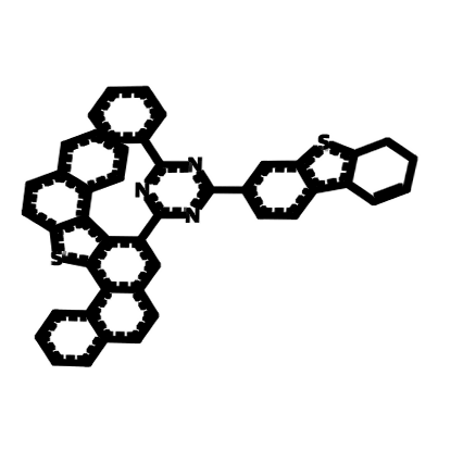 C1=Cc2c(sc3cc(-c4nc(-c5ccccc5)nc(-c5cc6ccc7ccccc7c6c6sc7ccc8ccccc8c7c56)n4)ccc23)CC1